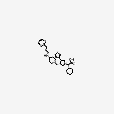 O=C(O)[C@@H](C1CCCCC1)N1C[C@H](CN2CCC(NCCCc3ncccn3)CC2)[C@@H](c2ccsc2)C1